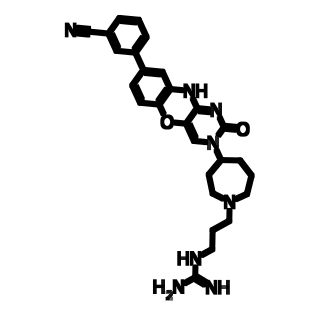 N#Cc1cccc(-c2ccc3c(c2)Nc2nc(=O)n(C4CCCN(CCCNC(=N)N)CC4)cc2O3)c1